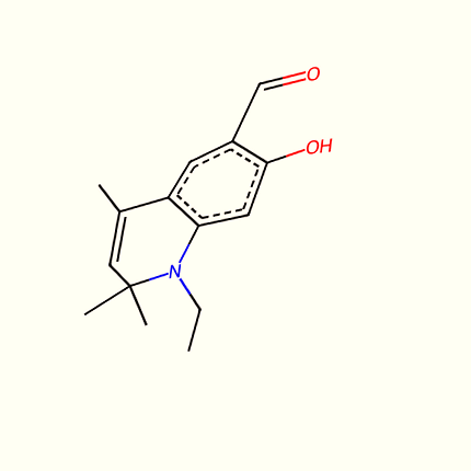 CCN1c2cc(O)c(C=O)cc2C(C)=CC1(C)C